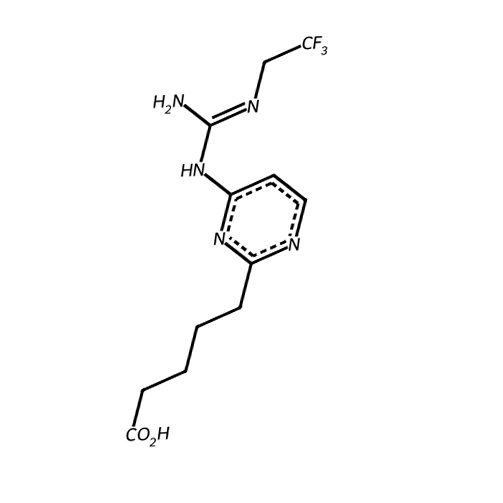 NC(=NCC(F)(F)F)Nc1ccnc(CCCCC(=O)O)n1